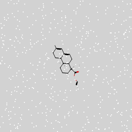 C=COC(=O)[C@]1(C)CCC[C@@]2(C)C1CC=C1C=C(C(C)C)CC[C@@H]12